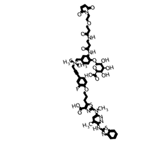 Cc1cc(N(C)c2nc(C(=O)O)c(CCCOc3ccc(C#CC[N+](C)(C)Cc4ccc(O[C@@H]5O[C@H](C(=O)O)[C@@H](O)[C@H](O)[C@H]5O)c(NC(=O)CCNC(=O)CCOCCN5C(=O)C=CC5=O)c4)cc3F)s2)nnc1Nc1nc2ccccc2s1